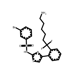 NCCCCCC(F)(F)c1ccccc1-c1csc(NS(=O)(=O)c2cccc(Br)c2)n1